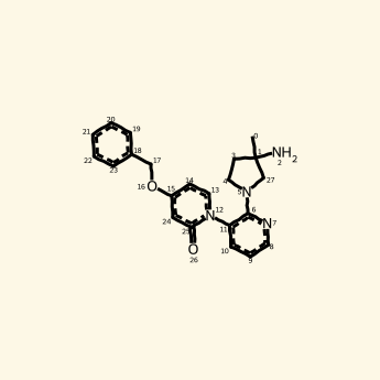 CC1(N)CCN(c2ncccc2-n2ccc(OCc3ccccc3)cc2=O)C1